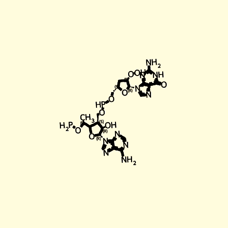 C[C@@H](OP)C1O[C@@H](n2cnc3c(N)ncnc32)[C@H](O)[C@@H]1COPOC[C@@H]1C[C@@H](OO)[C@H](n2cnc3c(=O)[nH]c(N)nc32)O1